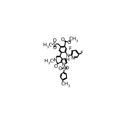 COC(=O)c1cc(Nc2ncc(F)cc2F)c(-c2cn(C)c(=O)c3c2ccn3S(=O)(=O)c2ccc(C)cc2)cc1CS(C)(=O)=O